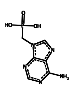 Nc1ncnc2c1ncn2CP(=O)(O)O